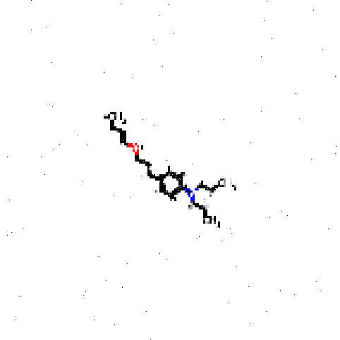 CCC=COCCCc1ccc(N(CCC)CCC)cc1